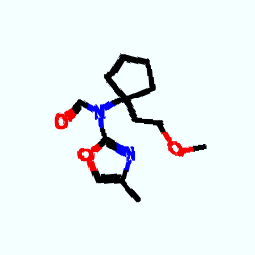 COCCC1(N(C=O)c2nc(C)co2)CCCC1